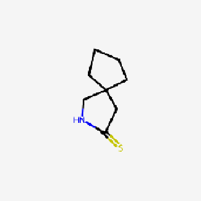 S=C1CC2(CCCC2)CN1